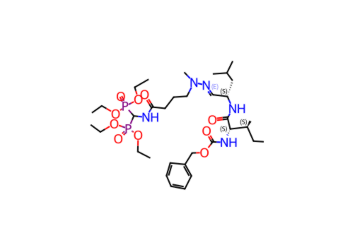 CCOP(=O)(OCC)C(NC(=O)CCCN(C)/N=C/[C@H](CC(C)C)NC(=O)[C@@H](NC(=O)OCc1ccccc1)[C@@H](C)CC)P(=O)(OCC)OCC